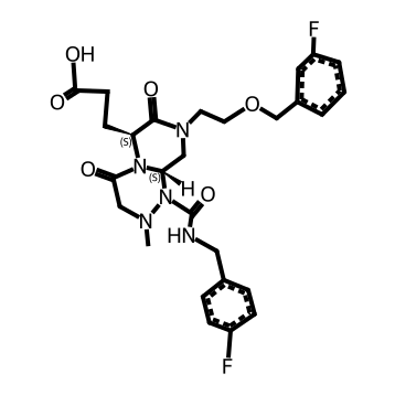 CN1CC(=O)N2[C@@H](CCC(=O)O)C(=O)N(CCOCc3cccc(F)c3)C[C@@H]2N1C(=O)NCc1ccc(F)cc1